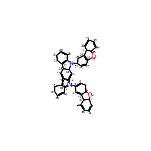 C1=CC2OC3CC=C(n4c5c(c6c4=CC4C(C=6)C6=C(C=CCC6)N4C4C=CC6=C(C4)C4C=CC=CC4O6)CCC=C5)C=C3C2C=C1